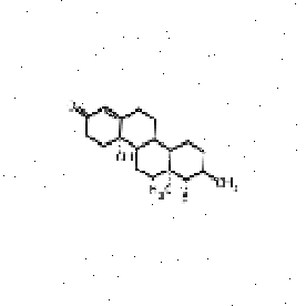 CC1CCC2C3CCC4=CC(=O)CC[C@]4(C)C3CC[C@]2(C)[C@H]1F